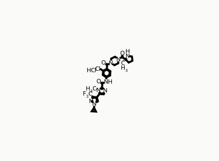 Cl.Cn1c(-c2cn(C3CC3)nc2C(F)(F)F)cnc1C(=O)Nc1ccc(C(=O)N2CCN(C(=O)[C@]3(C)CCCN3)CC2)c(Cl)c1